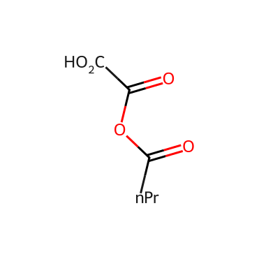 CCCC(=O)OC(=O)C(=O)O